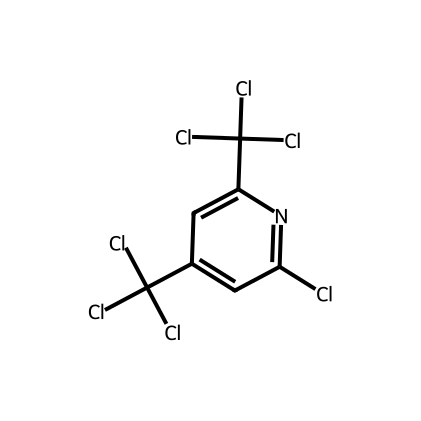 Clc1cc(C(Cl)(Cl)Cl)cc(C(Cl)(Cl)Cl)n1